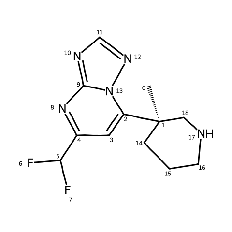 C[C@@]1(c2cc(C(F)F)nc3ncnn23)CCCNC1